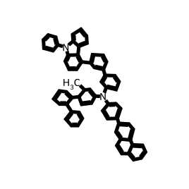 CC1C=C(N(c2ccc(-c3ccc4c(ccc5ccccc54)c3)cc2)c2cccc(-c3cccc(-c4cccc5c4c4ccccc4n5-c4ccccc4)c3)c2)C=CC1c1ccccc1-c1ccccc1